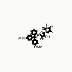 COc1ccc(C(OC[C@H]2O[C@@H](n3cc(C)c(=O)[nH]c3=O)C(O)C2O)(c2ccccc2)c2ccc(OC)cc2)cc1